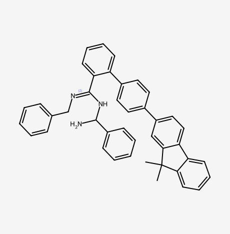 CC1(C)c2ccccc2-c2ccc(-c3ccc(-c4ccccc4/C(=N/Cc4ccccc4)NC(N)c4ccccc4)cc3)cc21